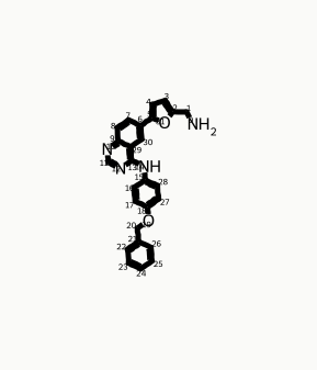 NCc1ccc(-c2ccc3ncnc(Nc4ccc(OCc5ccccc5)cc4)c3c2)o1